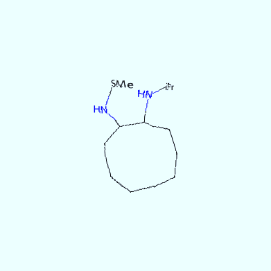 CSNC1CCCCCCCC1NC(C)C